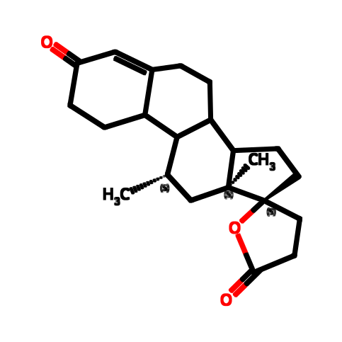 C[C@H]1C[C@@]2(C)C(CC[C@]23CCC(=O)O3)C2CCC3=CC(=O)CCC3C21